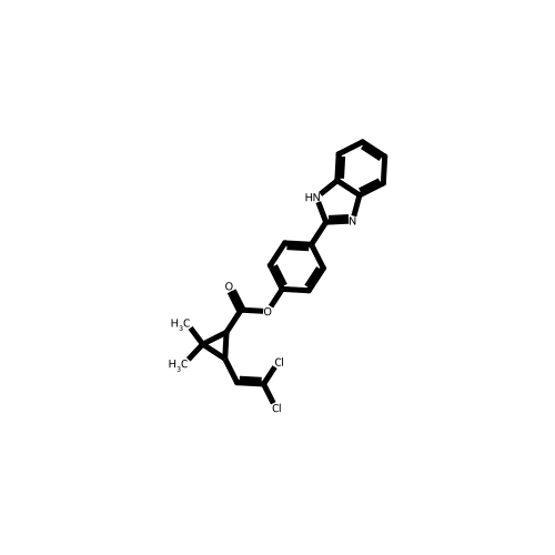 CC1(C)C(C=C(Cl)Cl)C1C(=O)Oc1ccc(-c2nc3ccccc3[nH]2)cc1